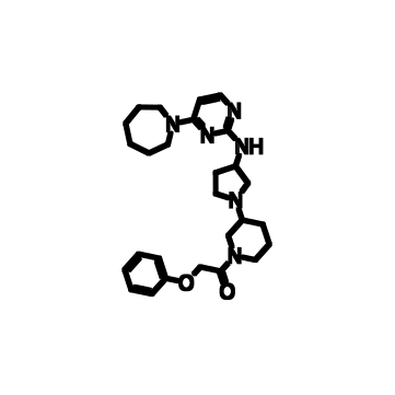 O=C(COc1ccccc1)N1CCCC(N2CCC(Nc3nccc(N4CCCCCC4)n3)C2)C1